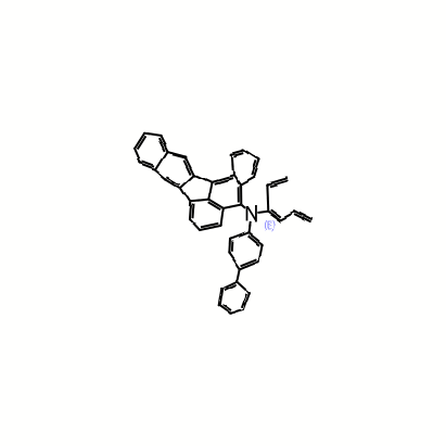 C=C/C=C(\C=C)N(c1ccc(-c2ccccc2)cc1)c1c2ccccc2c2c3c(cccc13)-c1cc3ccccc3cc1-2